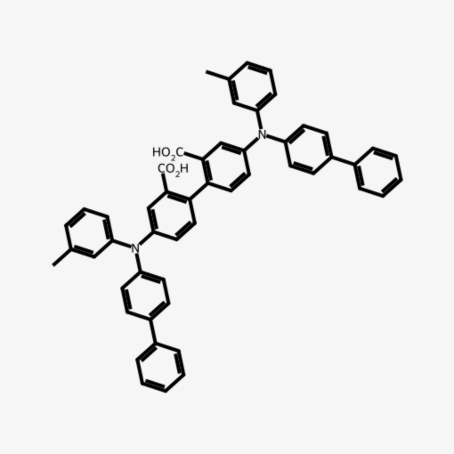 Cc1cccc(N(c2ccc(-c3ccccc3)cc2)c2ccc(-c3ccc(N(c4ccc(-c5ccccc5)cc4)c4cccc(C)c4)cc3C(=O)O)c(C(=O)O)c2)c1